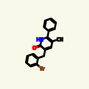 N#Cc1cc(Cc2ccccc2Br)c(=O)[nH]c1-c1ccccc1